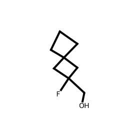 OCC1(F)CC2(CCC2)C1